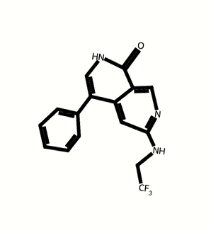 O=c1[nH]cc(-c2ccccc2)c2cc(NCC(F)(F)F)ncc12